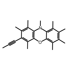 CC#Cc1c(C)c(C)c2c(c1C)Oc1c(C)c(C)c(C)c(C)c1N2C